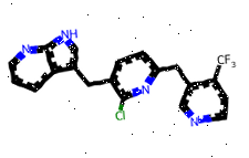 FC(F)(F)c1ccncc1[CH]c1ccc(Cc2c[nH]c3ncccc23)c(Cl)n1